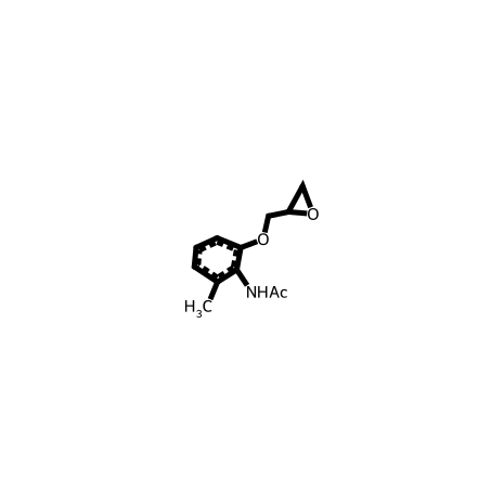 CC(=O)Nc1c(C)cccc1OCC1CO1